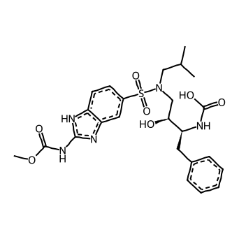 COC(=O)Nc1nc2cc(S(=O)(=O)N(CC(C)C)C[C@H](O)[C@H](Cc3ccccc3)NC(=O)O)ccc2[nH]1